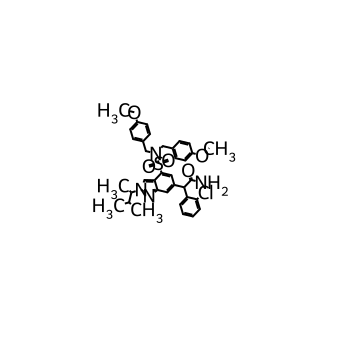 COc1ccc(CN(Cc2ccc(OC)cc2)S(=O)(=O)c2cc(C(C(N)=O)c3ccccc3Cl)cc3nn(C(C)C(C)C)cc23)cc1